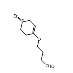 CC[C@H]1CC=C(OCCCC=O)CC1